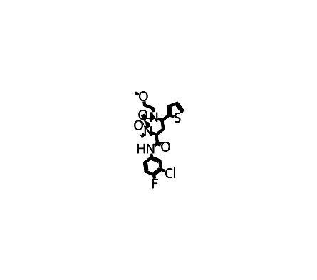 COCCN1C(c2cccs2)CC(C(=O)Nc2ccc(F)c(Cl)c2)N(C)S1(=O)=O